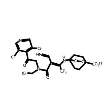 CC(C)(C)CN(CC(=O)c1c(Cl)cncc1Cl)C(=O)/C(C=N)=C(/NC12CCC(C(=O)O)(CC1)CC2)C(F)(F)F